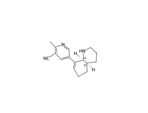 Cc1ncc(C2=CCC[C@@H]3CCCN[C@H]23)cc1C#N